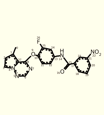 Cc1ccn2ncnc(Oc3ccc(NC(=O)c4cccc([N+](=O)[O-])c4)cc3F)c12